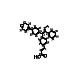 CC/C(=C(/c1ccc(/C=C/C(=O)O)cc1)c1ccc(N2CCOCC2)cc1)c1ccccc1